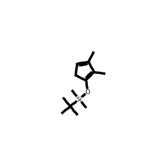 CC1=[C]CC(O[Si](C)(C)C(C)(C)C)=C1C